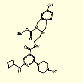 CC(C)N1CCN(c2cc(C(=O)NCC[C@@H]3Cc4ccc(O)cc4CN3C(=O)OC(C)(C)C)cc(NC3CCC3)n2)CC1